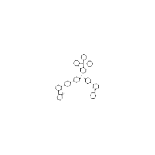 c1ccc(C2(c3ccccc3)c3ccccc3-c3cc(N(c4ccc(-c5ccc(-c6cccc7c6sc6ccccc67)cc5)cc4)c4ccc(-c5cccc6c5oc5ccccc56)cc4)ccc32)cc1